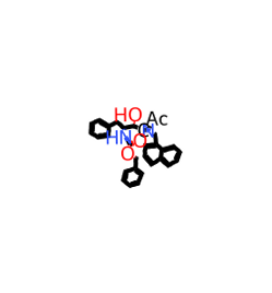 CC(=O)N(Cc1cccc2ccccc12)C[C@@H](O)C(Cc1ccccc1)NC(=O)OCc1ccccc1